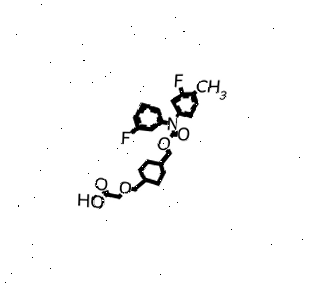 Cc1ccc(N(C(=O)OCC2CCC(COCC(=O)O)CC2)c2cccc(F)c2)cc1F